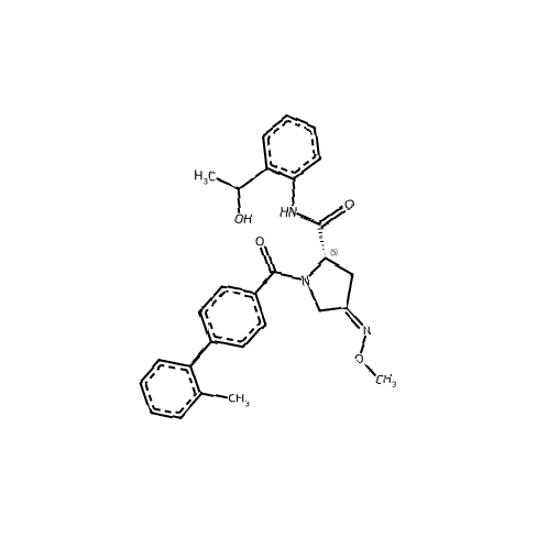 CON=C1C[C@@H](C(=O)Nc2ccccc2C(C)O)N(C(=O)c2ccc(-c3ccccc3C)cc2)C1